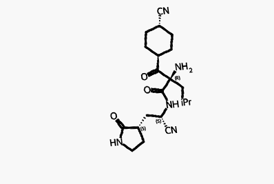 CC(C)C[C@](N)(C(=O)N[C@H](C#N)C[C@@H]1CCNC1=O)C(=O)[C@H]1CC[C@H](C#N)CC1